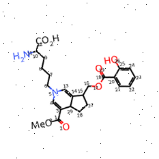 COC(=O)C1=CN(CCCCC(N)C(=O)O)C=C2C(COC(=O)c3ccccc3O)CCC12